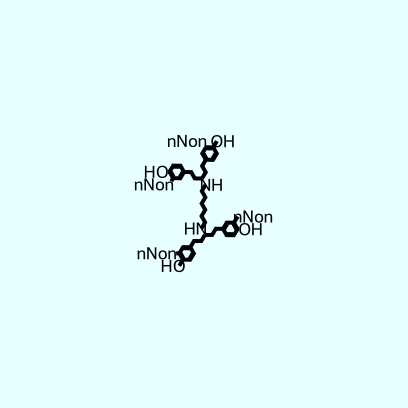 CCCCCCCCCc1cc(CCC(CCc2ccc(O)c(CCCCCCCCC)c2)NCCCCCCNC(CCc2ccc(O)c(CCCCCCCCC)c2)CCc2ccc(O)c(CCCCCCCCC)c2)ccc1O